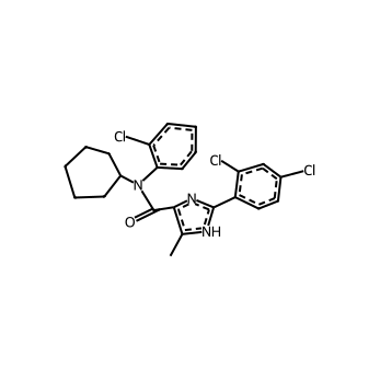 Cc1[nH]c(-c2ccc(Cl)cc2Cl)nc1C(=O)N(c1ccccc1Cl)C1CCCCC1